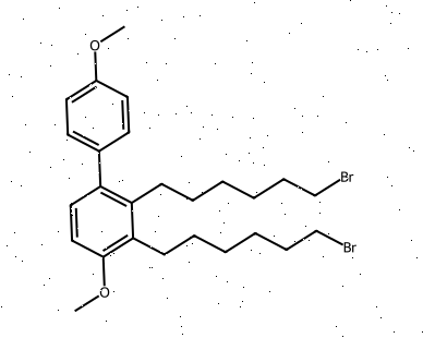 COc1ccc(-c2ccc(OC)c(CCCCCCBr)c2CCCCCCBr)cc1